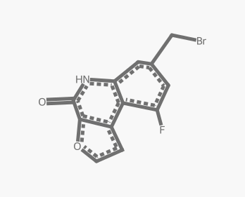 O=c1[nH]c2cc(CBr)cc(F)c2c2ccoc12